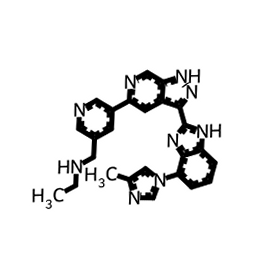 CCNCc1cncc(-c2cc3c(-c4nc5c(-n6cnc(C)c6)cccc5[nH]4)n[nH]c3cn2)c1